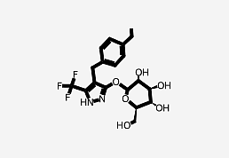 CCc1ccc(Cc2c(OC3O[C@H](CO)[C@@H](O)[C@H](O)[C@H]3O)n[nH]c2C(F)(F)F)cc1